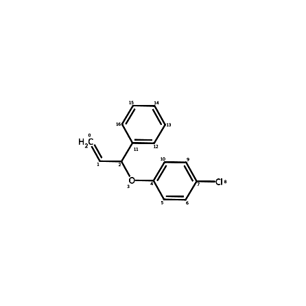 C=CC(Oc1ccc(Cl)cc1)c1ccccc1